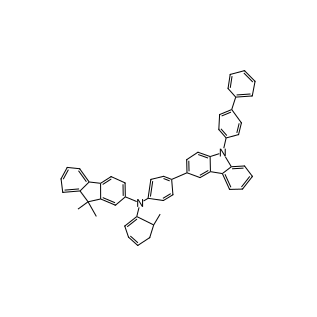 CC1CC=CC=C1N(c1ccc(-c2ccc3c(c2)c2ccccc2n3-c2ccc(-c3ccccc3)cc2)cc1)c1ccc2c(c1)C(C)(C)c1ccccc1-2